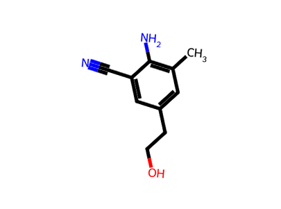 Cc1cc(CCO)cc(C#N)c1N